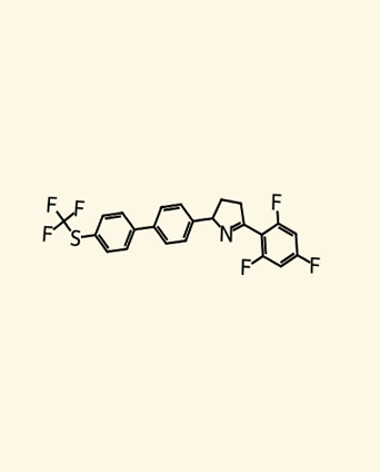 Fc1cc(F)c(C2=NC(c3ccc(-c4ccc(SC(F)(F)F)cc4)cc3)CC2)c(F)c1